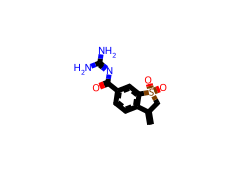 C=C1CS(=O)(=O)c2cc(C(=O)N=C(N)N)ccc21